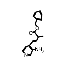 CC(C=Cc1ccncc1N)C(=O)OCc1ccccc1